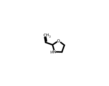 C=CC1NCCO1